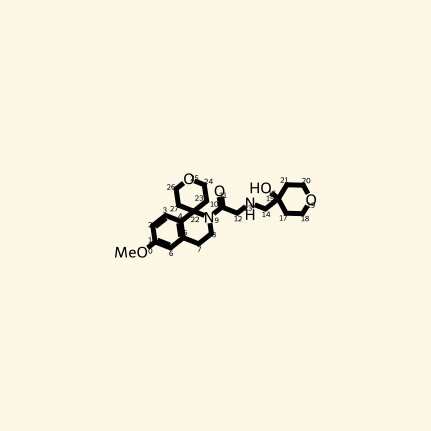 COc1ccc2c(c1)CCN(C(=O)CNCC1(O)CCOCC1)C21CCOCC1